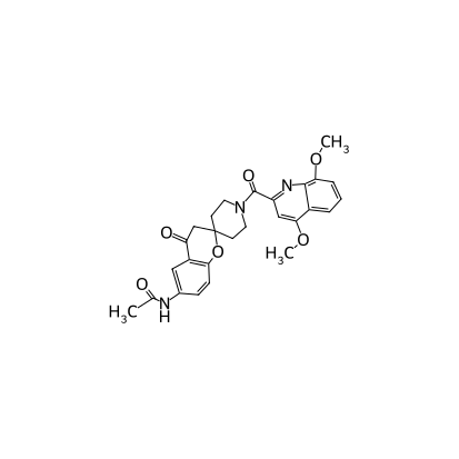 COc1cc(C(=O)N2CCC3(CC2)CC(=O)c2cc(NC(C)=O)ccc2O3)nc2c(OC)cccc12